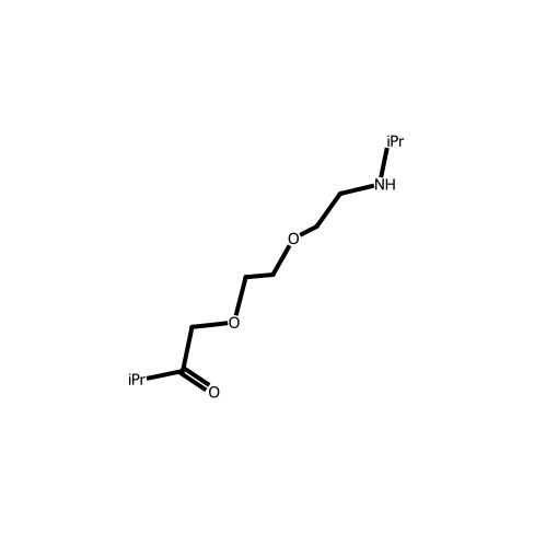 CC(C)NCCOCCOCC(=O)C(C)C